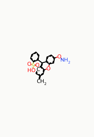 C=c1ccc2c(c1)Oc1cc(ON)ccc1C=2c1ccccc1S(=O)(=O)O